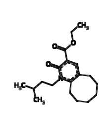 CCOC(=O)c1cc2c(n(CCC(C)C)c1=O)CCCCCC2